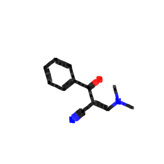 CN(C)/C=C(/C#N)C(=O)c1ccccc1